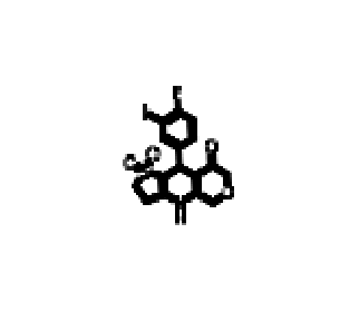 O=C1COCC2=C1C(c1ccc(F)c(I)c1)C1=C(CCS1(=O)=O)N2